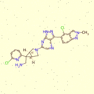 Cn1cc2c(Cl)c(-c3n[nH]c4nc(N5C[C@@H]6[C@H](C5)C6(CN)c5cccc(Cl)n5)cnc34)ccc2n1